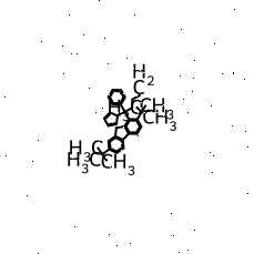 C=CCCC(c1ccccc1)(c1c(C(C)(C)C)ccc2c1Cc1cc(C(C)(C)C)ccc1-2)C1C=CC=C1